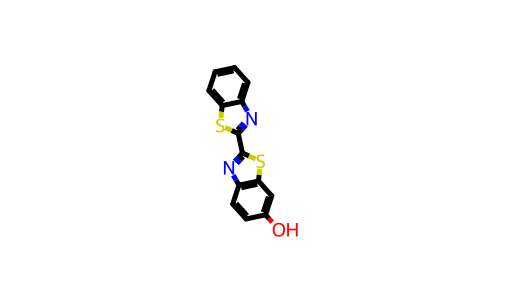 Oc1ccc2nc(-c3nc4ccccc4s3)sc2c1